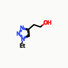 CCn1cc(CCO)nn1